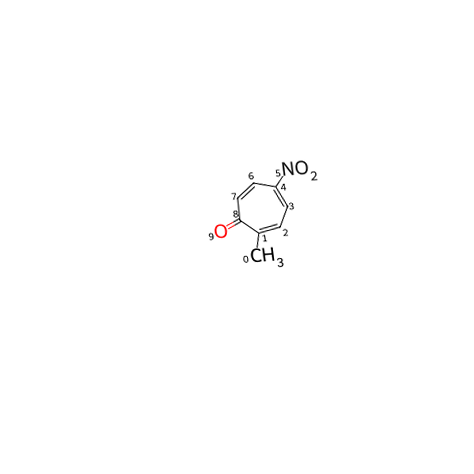 Cc1ccc([N+](=O)[O-])ccc1=O